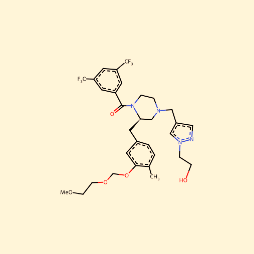 COCCOCOc1cc(C[C@@H]2CN(Cc3cnn(CCO)c3)CCN2C(=O)c2cc(C(F)(F)F)cc(C(F)(F)F)c2)ccc1C